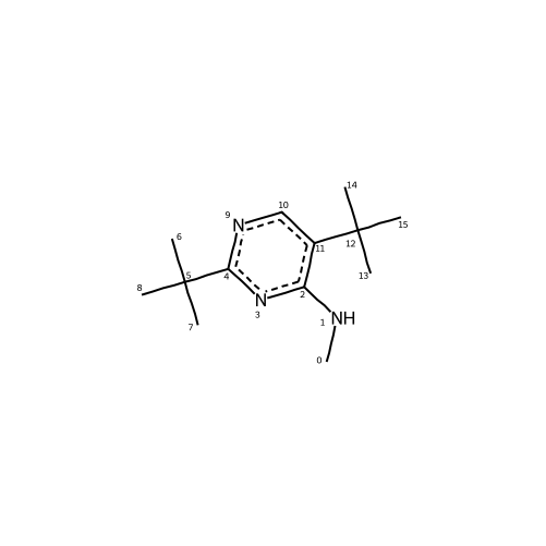 CNc1nc(C(C)(C)C)ncc1C(C)(C)C